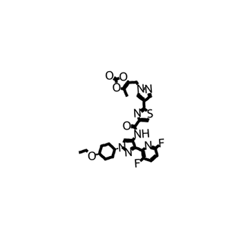 CCO[C@H]1CC[C@H](n2cc(NC(=O)c3csc(-c4cnn(Cc5oc(=O)oc5C)c4)n3)c(-c3nc(F)ccc3F)n2)CC1